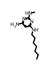 CCCCCCCNc1cc(N)nc(NC)n1